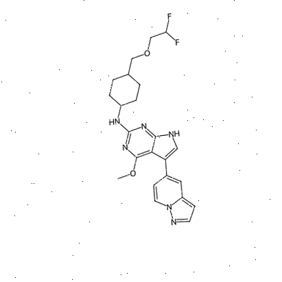 COc1nc(NC2CCC(COCC(F)F)CC2)nc2[nH]cc(-c3ccn4nccc4c3)c12